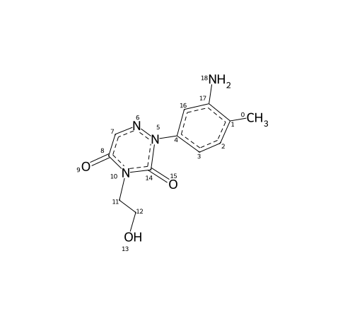 Cc1ccc(-n2ncc(=O)n(CCO)c2=O)cc1N